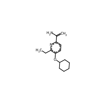 C=C(N)c1ccc(OC2CCCCC2)c(CC)n1